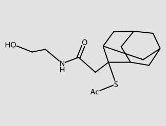 CC(=O)SC1(CC(=O)NCCO)C2CC3CC(C2)CC1C3